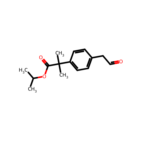 CC(C)OC(=O)C(C)(C)c1ccc(CC=O)cc1